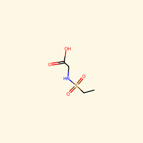 CCS(=O)(=O)NCC(=O)O